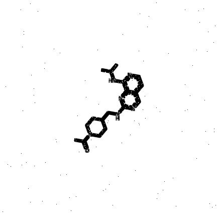 CC(=O)N1CCC(CNc2ncc3ccnc(NC(C)C)c3n2)CC1